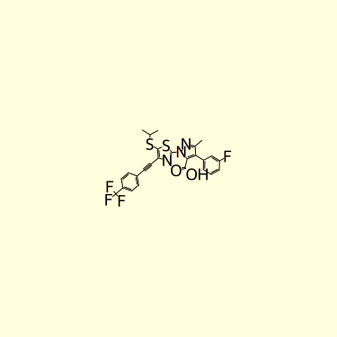 Cc1nn(-c2nc(C#Cc3ccc(C(F)(F)F)cc3)c(SC(C)C)s2)c(C(=O)O)c1-c1cccc(F)c1